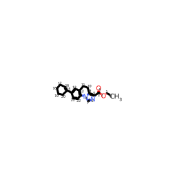 CCOC(=O)c1ncn2c1CCc1cc(C3=CCCCC3)ccc1-2